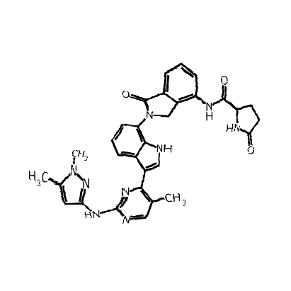 Cc1cnc(Nc2cc(C)n(C)n2)nc1-c1c[nH]c2c(N3Cc4c(NC(=O)C5CCC(=O)N5)cccc4C3=O)cccc12